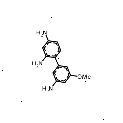 COc1cc(N)cc(-c2ccc(N)cc2N)c1